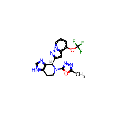 Cc1nnc(N2CCc3[nH]cnc3[C@H]2c2cc3c(OC(F)(F)F)cccn3n2)o1